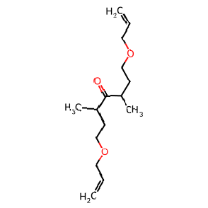 C=CCOCCC(C)C(=O)C(C)CCOCC=C